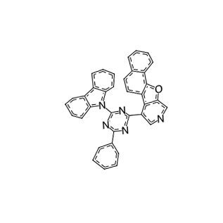 c1ccc(-c2nc(-c3cncc4oc5c6ccccc6ccc5c34)nc(-n3c4ccccc4c4ccccc43)n2)cc1